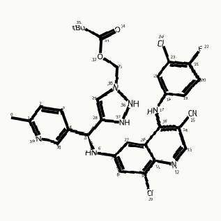 Cc1ccc([C@H](Nc2cc(Cl)c3ncc(C#N)c(Nc4ccc(F)c(Cl)c4)c3c2)C2=CN(COC(=O)C(C)(C)C)NN2)cn1